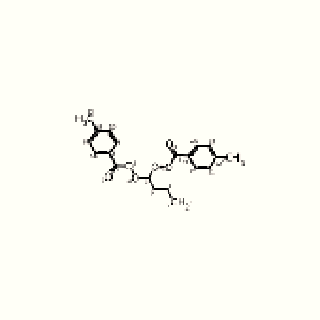 [CH2]CC[C](OOC(=O)c1ccc(C)cc1)OOC(=O)c1ccc(C)cc1